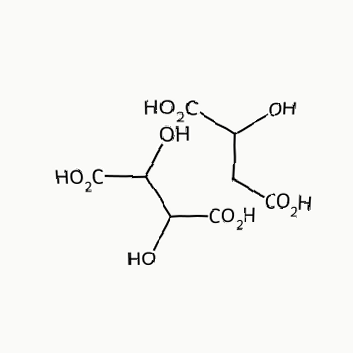 O=C(O)C(O)C(O)C(=O)O.O=C(O)CC(O)C(=O)O